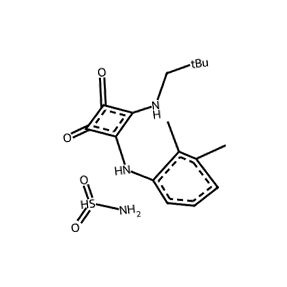 Cc1cccc(Nc2c(NCC(C)(C)C)c(=O)c2=O)c1C.N[SH](=O)=O